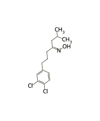 CC(C)CC(CCCc1ccc(Cl)c(Cl)c1)=NO